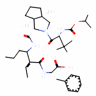 CC=C(C(=O)N[C@@H](Cc1ccccc1)C(=O)O)C(CCC)NC(=O)[C@@H]1[C@H]2CCC[C@H]2CN1C(=O)[C@@H](NC(=O)OC(C)C)C(C)(C)C